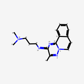 Cc1nn2ccc3ccccc3c2nc1=NCCCN(C)C